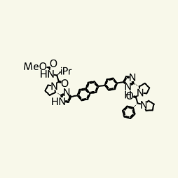 COC(=O)N[C@H](C(=O)N1CCC[C@H]1c1nc(-c2ccc3cc(-c4ccc(-c5cnc([C@@H]6CCCN6C(=O)[C@@H](c6ccccc6)N6CCCC6)[nH]5)cc4)ccc3c2)c[nH]1)C(C)C